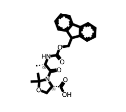 C[C@H](NC(=O)OCC1c2ccccc2-c2ccccc21)C(=O)N1[C@H](C(=O)O)COC1(C)C